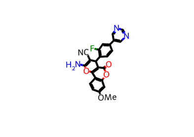 COc1ccc2c3c(c(=O)oc2c1)C(c1ccc(-c2cncnc2)cc1F)C(C#N)=C(N)O3